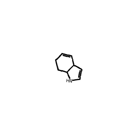 C1=CC2C=CNC2CC1